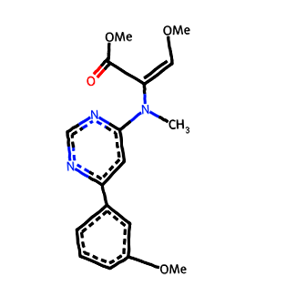 COC=C(C(=O)OC)N(C)c1cc(-c2cccc(OC)c2)ncn1